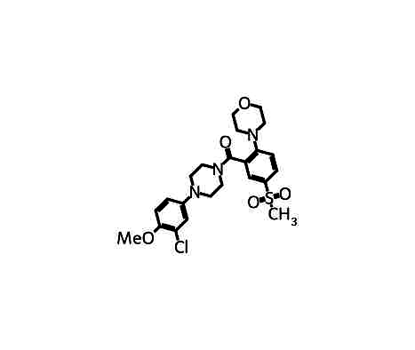 COc1ccc(N2CCN(C(=O)c3cc(S(C)(=O)=O)ccc3N3CCOCC3)CC2)cc1Cl